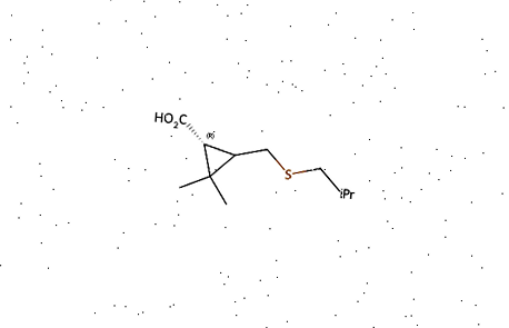 CC(C)CSCC1[C@@H](C(=O)O)C1(C)C